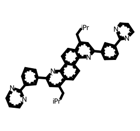 CC(C)Cc1cc(-c2cccc(-c3ncccn3)c2)nc2c1ccc1c2ccc2c(CC(C)C)cc(-c3cccc(-c4ncccn4)c3)nc21